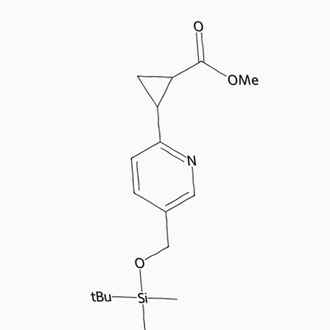 COC(=O)C1CC1c1ccc(CO[Si](C)(C)C(C)(C)C)cn1